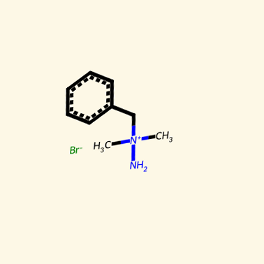 C[N+](C)(N)Cc1ccccc1.[Br-]